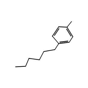 CCCCCCc1c[c]c(C)cc1